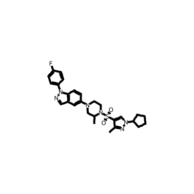 Cc1nn(C2CCCC2)cc1S(=O)(=O)N1CCN(c2ccc3c(cnn3-c3ccc(F)cc3)c2)CC1C